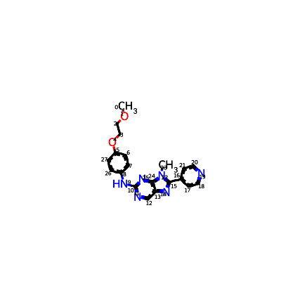 COCCOc1ccc(Nc2ncc3nc(-c4ccncc4)n(C)c3n2)cc1